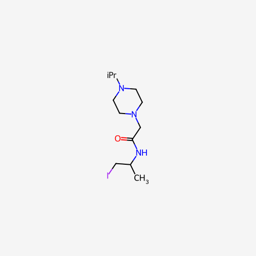 CC(CI)NC(=O)CN1CCN(C(C)C)CC1